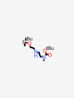 CN(CCNCCO[Si](C)(C)C(C)(C)C)C(=O)OC(C)(C)C